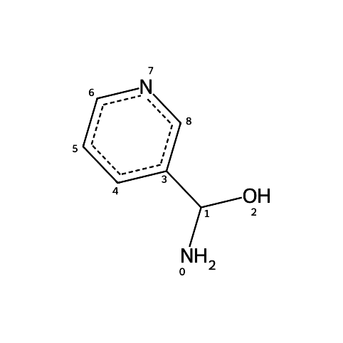 NC(O)c1cccnc1